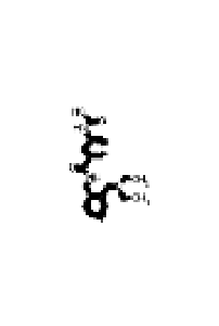 CCN(CC)Cc1ccccc1CNC(=O)c1cccc(NC(=O)O)c1